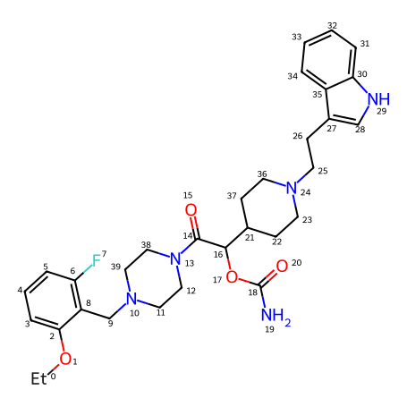 CCOc1cccc(F)c1CN1CCN(C(=O)C(OC(N)=O)C2CCN(CCc3c[nH]c4ccccc34)CC2)CC1